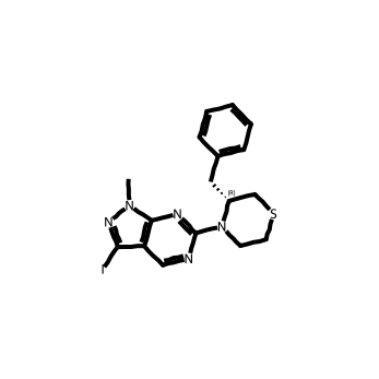 Cn1nc(I)c2cnc(N3CCSC[C@H]3Cc3ccccc3)nc21